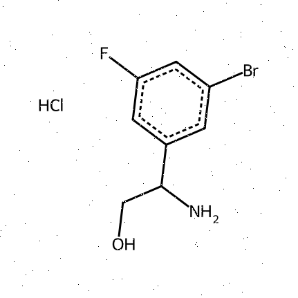 Cl.NC(CO)c1cc(F)cc(Br)c1